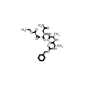 CCOC(=O)[C@@H]1O[C@H]1C(=O)N(CC(N)=O)NC(=O)[C@H](C)NC(=O)[C@H](C)NC(=O)OCc1ccccc1